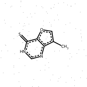 Cc1coc2c(=S)[nH]cnc12